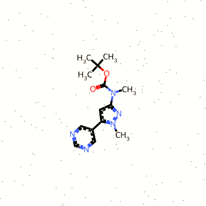 CN(C(=O)OC(C)(C)C)c1cc(-c2cncnc2)n(C)n1